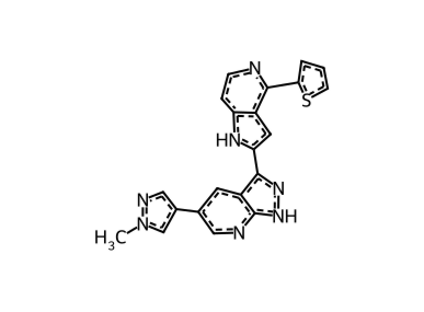 Cn1cc(-c2cnc3[nH]nc(-c4cc5c(-c6cccs6)nccc5[nH]4)c3c2)cn1